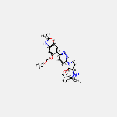 COCOc1cc2nc(C)oc2cc1-c1ccc(N2CCC(NC(C)(C)C)C2=O)nn1